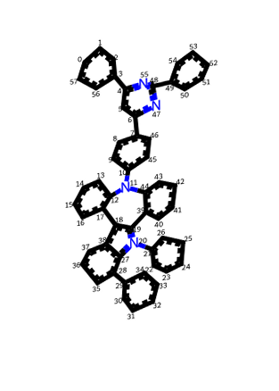 c1ccc(-c2cc(-c3ccc(N4c5ccccc5-c5c(n(-c6ccccc6)c6c(-c7ccccc7)cccc56)-c5ccccc54)cc3)nc(-c3ccccc3)n2)cc1